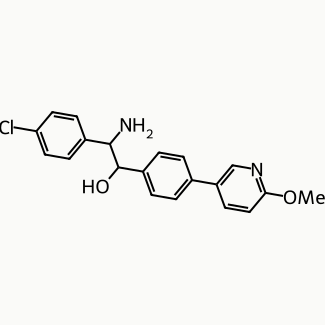 COc1ccc(-c2ccc(C(O)C(N)c3ccc(Cl)cc3)cc2)cn1